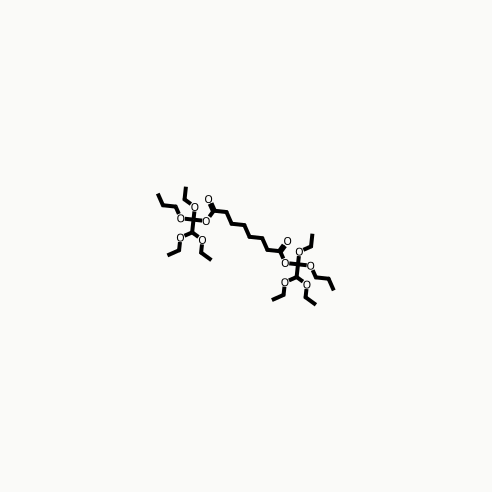 CCCOC(OCC)(OC(=O)CCCCCCC(=O)OC(OCC)(OCCC)C(OCC)OCC)C(OCC)OCC